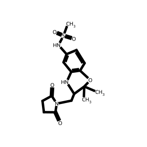 CC1(C)Oc2ccc(NS(C)(=O)=O)cc2NC1CN1C(=O)CCC1=O